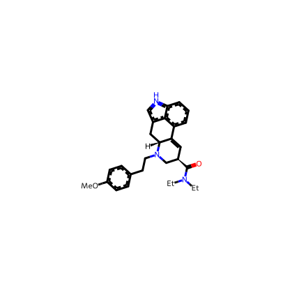 CCN(CC)C(=O)[C@@H]1C=C2c3cccc4[nH]cc(c34)C[C@H]2N(CCc2ccc(OC)cc2)C1